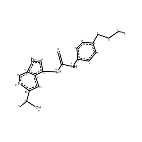 CCCCc1ccc(NC(=O)Nc2c[nH]c3cnc(C(C)O)cc23)cc1